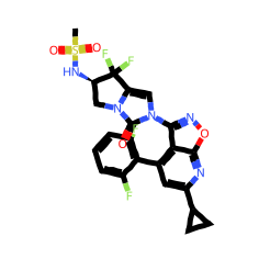 CS(=O)(=O)N[C@@H]1Cn2c(cn(-c3noc4nc(C5CC5)cc(-c5c(F)cccc5F)c34)c2=O)C1(F)F